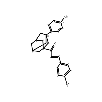 N#Cc1ccc(C=CC(=O)C23CC4CC(C2)CC(c2ccc(Cl)cc2)(C4)C3)cc1